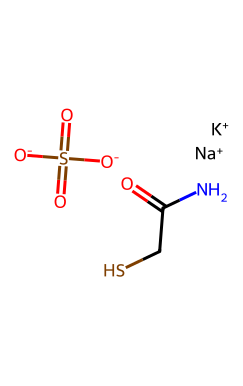 NC(=O)CS.O=S(=O)([O-])[O-].[K+].[Na+]